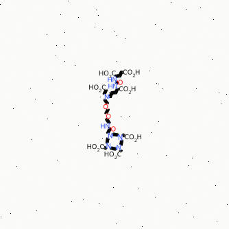 O=C(O)CC[C@H](NC(=O)N[C@@H](CCCN(CCOCCOCCNC(=O)CN1CCN(CC(=O)O)CCN(CC(=O)O)CCN(CC(=O)O)CC1)CCC(=O)O)C(=O)O)C(=O)O